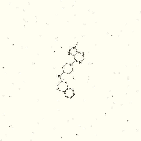 Cc1csc2c(N3CCC(NC4CCc5ccccc5C4)CC3)ncnc12